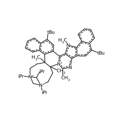 Cc1nc2c3cc(C(C)(C)C)c4ccccc4c3n(C)c2c2[n+]1C1(C)CC[N+]3(C(C)C)C[N+](C(C)C)(CCC1(C)c1c-2cc(C(C)(C)C)c2ccccc12)C3C(C)C